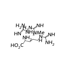 CNC(=N)N.N=C(N)N.N=C(N)NCCCC(N)C(=O)O